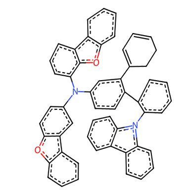 C1=CCCC(c2cc(N(c3ccc4oc5ccccc5c4c3)c3cccc4c3oc3ccccc34)ccc2-c2ccccc2-n2c3ccccc3c3ccccc32)=C1